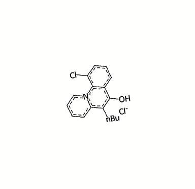 CCCCc1c(O)c2cccc(Cl)c2[n+]2ccccc12.[Cl-]